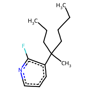 CCCCC(C)(CCC)c1cccnc1F